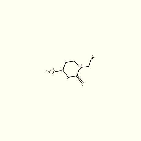 CCOC(=O)N1CCN(CC(C)C)C(=O)C1